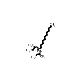 CCCCCCCCCCCCP(=O)(OC(C)CC)OC(C)CC